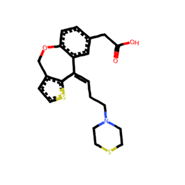 O=C(O)Cc1ccc2c(c1)/C(=C/CCN1CCSCC1)c1sccc1CO2